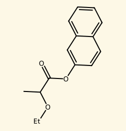 CCOC(C)C(=O)Oc1ccc2ccccc2c1